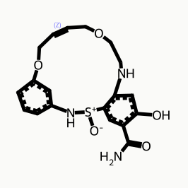 NC(=O)c1cc2c(cc1O)NCCOC/C=C\COc1cccc(c1)N[S+]2[O-]